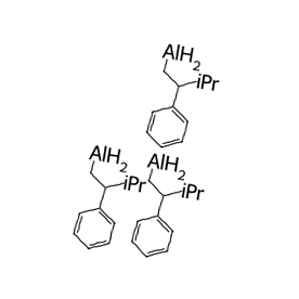 CC(C)C([CH2][AlH2])c1ccccc1.CC(C)C([CH2][AlH2])c1ccccc1.CC(C)C([CH2][AlH2])c1ccccc1